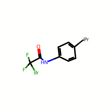 CC(C)c1ccc(NC(=O)C(F)(F)Br)cc1